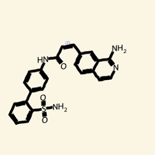 Nc1nccc2ccc(/C=C\C(=O)Nc3ccc(-c4ccccc4S(N)(=O)=O)cc3)cc12